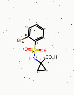 O=C(O)C1(NS(=O)(=O)c2ccccc2Br)CC1